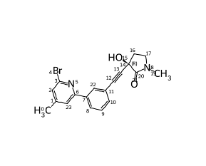 Cc1cc(Br)nc(-c2cccc(C#C[C@]3(O)CCN(C)C3=O)c2)c1